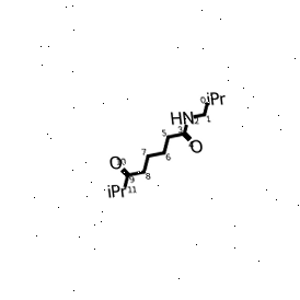 CC(C)CNC(=O)CCCCC(=O)C(C)C